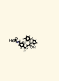 Cc1ccc(C[C@@H]2CCCN2C[C@H](O)CO[C@H](C)c2ccc(/C=C/C(=O)O)cc2)cc1F